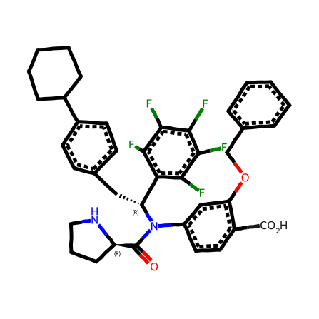 O=C(O)c1ccc(N(C(=O)[C@H]2CCCN2)[C@H](Cc2ccc(C3CCCCC3)cc2)c2c(F)c(F)c(F)c(F)c2F)cc1OCc1ccccc1